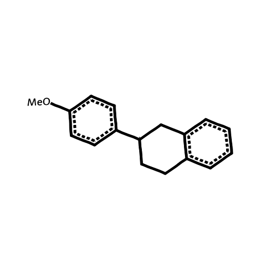 COc1ccc([C]2CCc3ccccc3C2)cc1